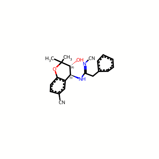 CC1(C)Oc2ccc(C#N)cc2[C@H](NC(Cc2ccccc2)=NC#N)[C@H]1O